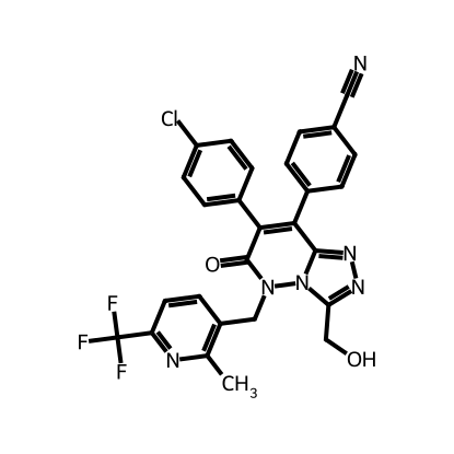 Cc1nc(C(F)(F)F)ccc1Cn1c(=O)c(-c2ccc(Cl)cc2)c(-c2ccc(C#N)cc2)c2nnc(CO)n21